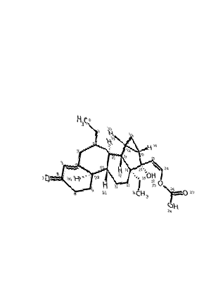 CC[C@@H]1CC2=CC(=O)CC[C@@H]2[C@H]2CC[C@@]3(CC)[C@@H]([C@@H]4C[C@@H]4[C@@]3(O)/C=C\OC(=O)O)[C@H]12